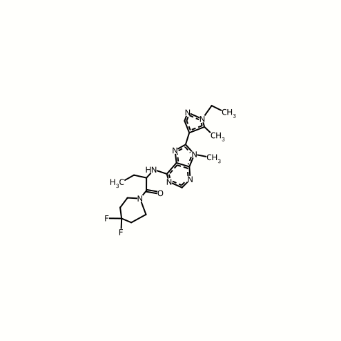 CCC(Nc1ncnc2c1nc(-c1cnn(CC)c1C)n2C)C(=O)N1CCC(F)(F)CC1